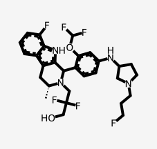 C[C@@H]1Cc2c([nH]c3c(F)cccc23)C(c2ccc(NC3CCN(CCCF)C3)cc2OC(F)F)N1CC(F)(F)CO